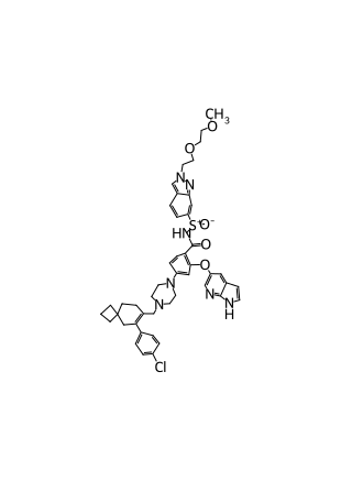 COCCOCCn1cc2ccc([S+]([O-])NC(=O)c3ccc(N4CCN(CC5=C(c6ccc(Cl)cc6)CC6(CCC6)CC5)CC4)cc3Oc3cnc4[nH]ccc4c3)cc2n1